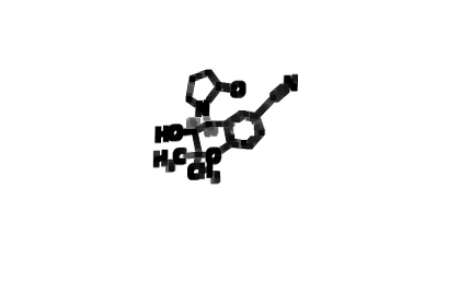 CC1(C)Oc2ccc(C#N)cc2[C@@H](N2CCCC2=O)[C@@H]1O